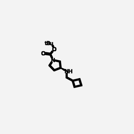 CC(C)(C)OC(=O)N1CC[C@H](NCC2CCC2)C1